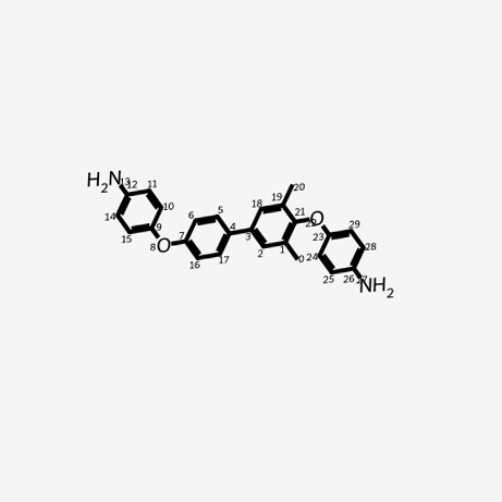 Cc1cc(-c2ccc(Oc3ccc(N)cc3)cc2)cc(C)c1Oc1ccc(N)cc1